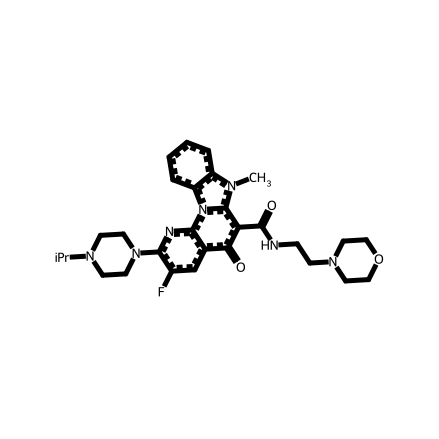 CC(C)N1CCN(c2nc3c(cc2F)c(=O)c(C(=O)NCCN2CCOCC2)c2n(C)c4ccccc4n32)CC1